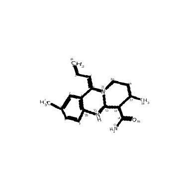 CC/C=C1\c2cc(C)ccc2NC2C(C(N)=O)C(C)CCN12